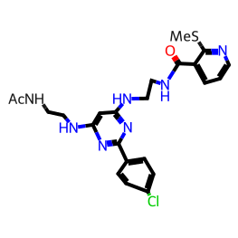 CSc1ncccc1C(=O)NCCNc1cc(NCCNC(C)=O)nc(-c2ccc(Cl)cc2)n1